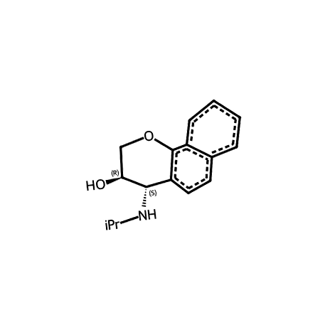 CC(C)N[C@H]1c2ccc3ccccc3c2OC[C@@H]1O